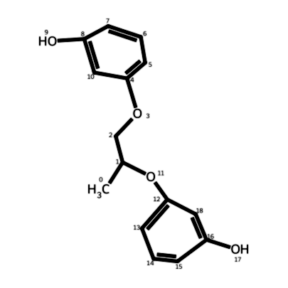 CC(COc1cccc(O)c1)Oc1cccc(O)c1